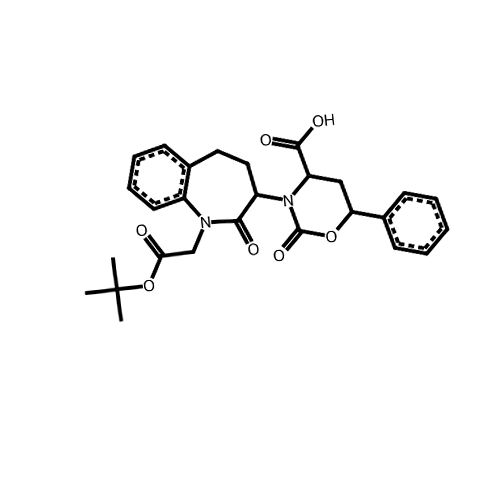 CC(C)(C)OC(=O)CN1C(=O)C(N2C(=O)OC(c3ccccc3)CC2C(=O)O)CCc2ccccc21